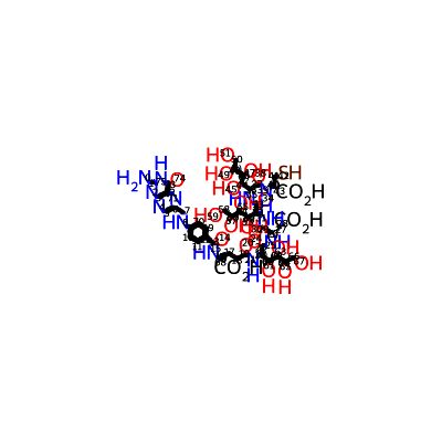 Nc1nc2ncc(CNc3ccc(C(=O)N[C@@H](CCC(=O)N[C@H](C(=O)N[C@@H](CC(=O)O)C(=O)N[C@H](C(=O)NC(C(=O)N[C@H](CS)C(=O)O)C(O)[C@H](O)[C@H](O)CO)[C@@H](O)[C@H](O)[C@H](O)CO)[C@@H](O)[C@H](O)[C@H](O)CO)C(=O)O)cc3)nc2c(=O)[nH]1